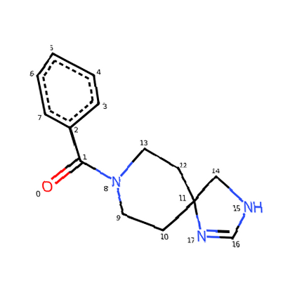 O=C(c1ccccc1)N1CCC2(CC1)CNC=N2